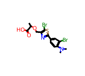 CC(OCc1nc(-c2ccc(N(C)C)c(Br)c2)sc1Br)C(=O)O